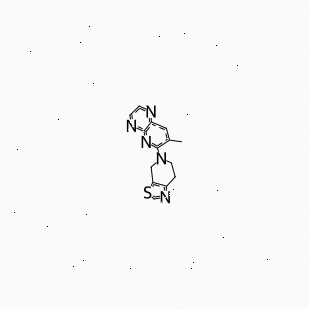 Cc1cc2nccnc2nc1N1CCc2ncsc2C1